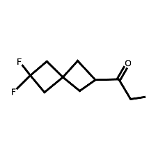 CCC(=O)C1CC2(C1)CC(F)(F)C2